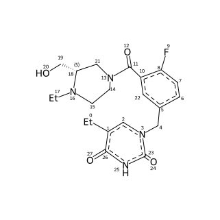 CCc1cn(Cc2ccc(F)c(C(=O)N3CCN(CC)[C@H](CO)C3)c2)c(=O)[nH]c1=O